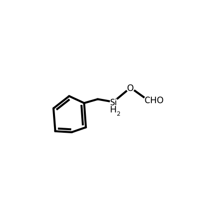 O=CO[SiH2]Cc1ccccc1